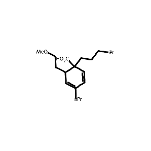 CCCC1=CC(CCOC)C(CCCC(C)C)(C(=O)O)C=C1